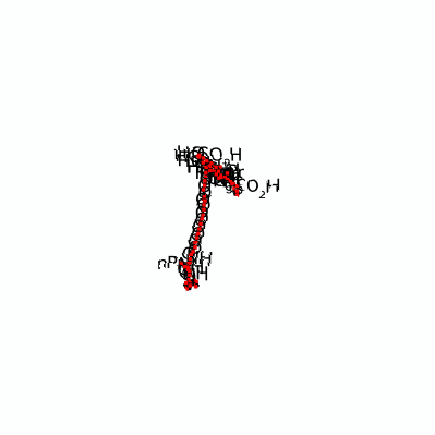 CCCNC(=O)[C@H](CCCCNC(=O)CCOCCOCCOCCOCCOCCOCCOCCOCCOCCOCCOCCOC(=O)Nc1cc(C[N+]2(C)CCCC[C@@H]2C(=O)N[C@H](C(=O)N(C)[C@H](C[C@@H](OC(=O)C(C)C)c2nc(C(=O)N[C@@H](Cc3ccccc3)C[C@H](C)C(=O)O)cs2)C(C)C)[C@@H](C)CC)ccc1O[C@@H]1O[C@H](C(=O)O)[C@@H](O)[C@H](O)[C@H]1O)NC(=O)OCC1c2ccccc2-c2ccccc21